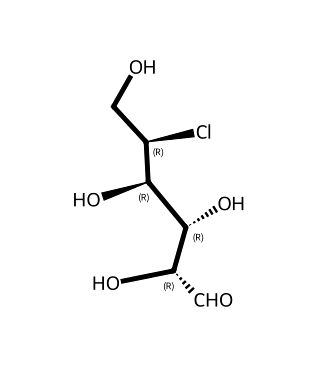 O=C[C@H](O)[C@@H](O)[C@@H](O)[C@H](Cl)CO